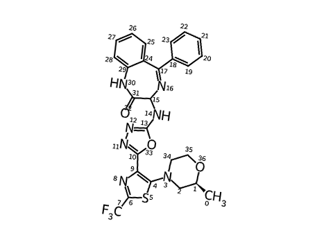 C[C@H]1CN(c2sc(C(F)(F)F)nc2-c2nnc(NC3N=C(c4ccccc4)c4ccccc4NC3=O)o2)CCO1